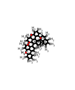 Bc1c(B)c(B)c(-c2c(B)c(B)c(-c3c4c(B)c(B)c(B)c(B)c4c(-c4c(B)c(B)c(B)c5oc6c(B)c7c(B)c(B)c(B)c(B)c7c(B)c6c45)c4c(B)c(B)c(B)c(B)c34)c3c(B)c(B)c(B)c(B)c23)c(B)c1B